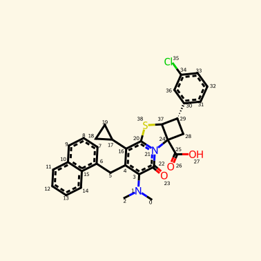 CN(C)c1c(Cc2cccc3ccccc23)c(C2CC2)c2n(c1=O)C1(C(=O)O)C[C@@H](c3cccc(Cl)c3)C1S2